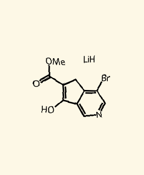 COC(=O)C1=C(O)c2cncc(Br)c2C1.[LiH]